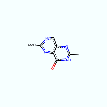 COc1ncc2nc(C)[nH]c(=O)c2n1